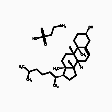 CC(C)CCCC(C)[C@H]1CC[C@H]2[C@@H]3CC=C4C[C@@H](O)CC[C@]4(C)[C@H]3CC[C@]12C.NCCS(=O)(=O)O